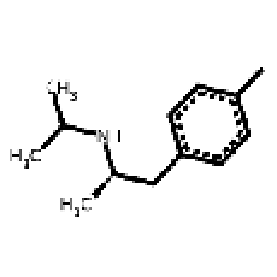 CC(C)N[C@H](C)Cc1ccc(I)cc1